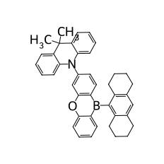 CC1(C)c2ccccc2N(c2ccc3c(c2)Oc2ccccc2B3c2c3c(cc4c2CCCC4)CCCC3)c2ccccc21